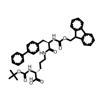 CC(C)(C)OC(=O)N[C@H](CCCNC(=O)[C@@H](Cc1ccc(-c2ccccc2)cc1)NC(=O)OCC1c2ccccc2-c2ccccc21)C(=O)O